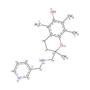 Cc1c(C)c2c(c(C)c1O)CCC(C)(CNCc1cccnc1)O2